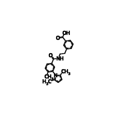 Cc1ccc(C(=O)NCCc2cccc(C(=O)O)c2)cc1-n1c(C)ccc1C